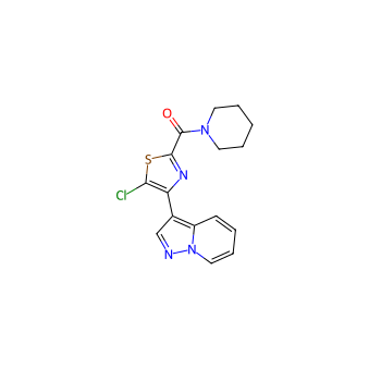 O=C(c1nc(-c2cnn3ccccc23)c(Cl)s1)N1CCCCC1